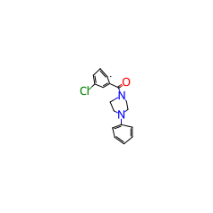 O=C(c1[c]ccc(Cl)c1)N1CCN(c2ccccc2)CC1